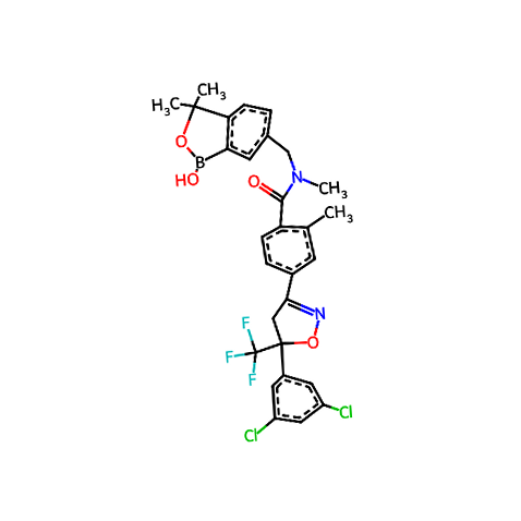 Cc1cc(C2=NOC(c3cc(Cl)cc(Cl)c3)(C(F)(F)F)C2)ccc1C(=O)N(C)Cc1ccc2c(c1)B(O)OC2(C)C